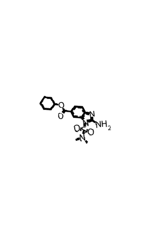 CN(C)S(=O)(=O)n1c(N)nc2ccc(C(=O)OC3CCCCC3)cc21